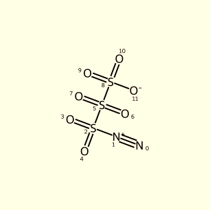 N#[N+]S(=O)(=O)S(=O)(=O)S(=O)(=O)[O-]